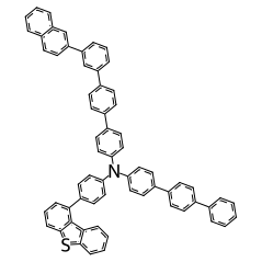 c1ccc(-c2ccc(-c3ccc(N(c4ccc(-c5ccc(-c6cccc(-c7ccc8ccccc8c7)c6)cc5)cc4)c4ccc(-c5cccc6sc7ccccc7c56)cc4)cc3)cc2)cc1